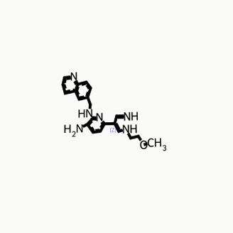 COCCN/C=C(\C=N)c1ccc(N)c(NCc2ccc3ncccc3c2)n1